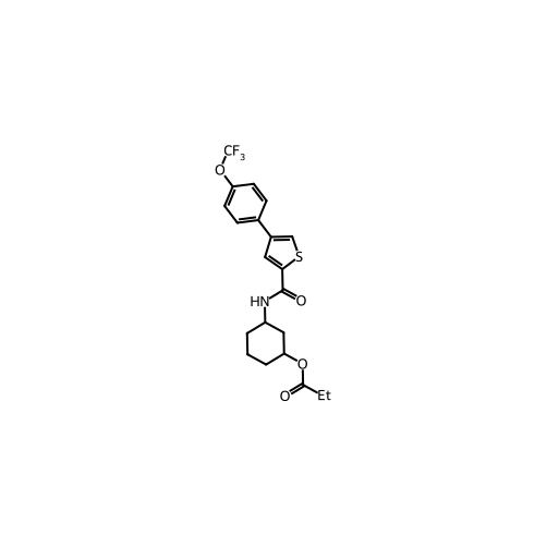 CCC(=O)OC1CCCC(NC(=O)c2cc(-c3ccc(OC(F)(F)F)cc3)cs2)C1